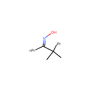 CCCC(=NO)C(C)(C)C(C)C